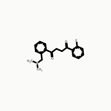 CN(C)Cc1ccccc1C(=O)CCC(=O)c1ccccc1F